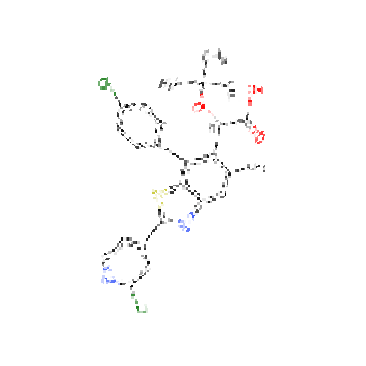 Cc1cc2nc(-c3ccnc(Cl)c3)sc2c(-c2ccc(Cl)cc2)c1[C@H](OC(C)(C)C)C(=O)O